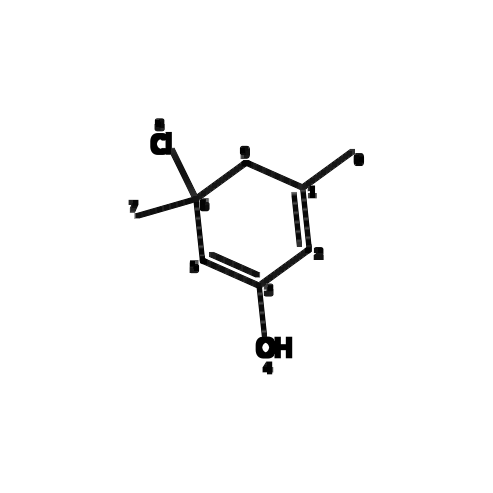 CC1=CC(O)=CC(C)(Cl)C1